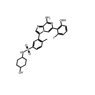 COc1cccc(F)c1-c1cn2c(-c3cc(S(=O)(=O)NC4CCC(O)CC4)ccc3C)cnc2c(N)n1